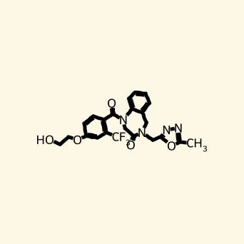 Cc1nnc(CN2Cc3ccccc3N(C(=O)c3ccc(OCCO)cc3C(F)(F)F)CC2=O)o1